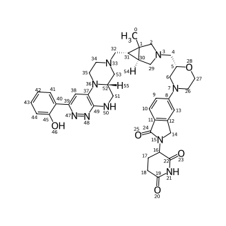 CC12CN(C[C@H]3CN(c4ccc5c(c4)CN(C4CCC(=O)NC4=O)C5=O)CCO3)C[C@H]1[C@@H]2CN1CCN2c3cc(-c4ccccc4O)nnc3NC[C@H]2C1